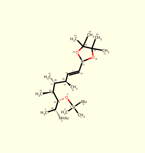 CC(=O)N[C@H](C)[C@@H](O[Si](C)(C)C(C)(C)C)[C@@H](C)[C@H](C)[C@H](C)/C=C/B1OC(C)(C)C(C)(C)O1